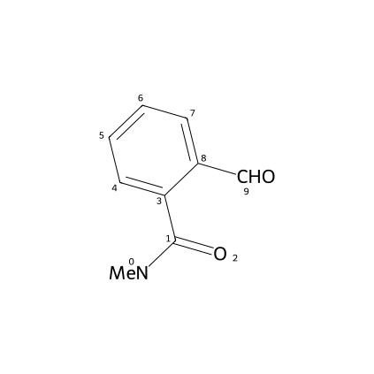 CNC(=O)c1ccccc1C=O